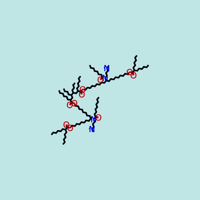 CCCCCCCCC(=O)N(CCCN(C)C)C(CCCCCCCCOC(=O)C(CCCCCC)CCCCCC)CCCCCCCCOC(=O)C(CCCCCC)CC(CCCC)C(CCCC)CC(CCCCCC)C(=O)OCCCCCCCCCC(CCCCCCCCCOC(=O)C(CCCCCC)CCCCCC)N(CCCN(C)C)C(=O)CCCCCCC